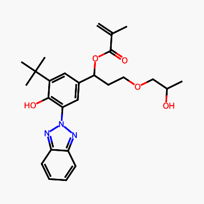 C=C(C)C(=O)OC(CCOCC(C)O)c1cc(-n2nc3ccccc3n2)c(O)c(C(C)(C)C)c1